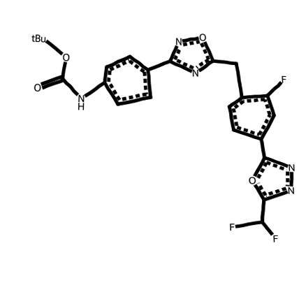 CC(C)(C)OC(=O)Nc1ccc(-c2noc(Cc3ccc(-c4nnc(C(F)F)o4)cc3F)n2)cc1